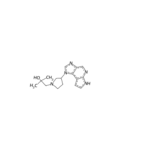 CC(C)(O)CN1CCC(n2cnc3cnc4[nH]ccc4c32)C1